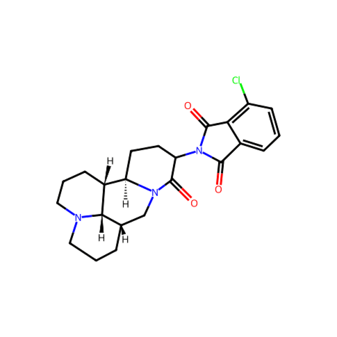 O=C1c2cccc(Cl)c2C(=O)N1C1CC[C@@H]2[C@H]3CCCN4CCC[C@@H](CN2C1=O)[C@@H]34